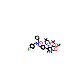 CCOC(=O)[C@@H](OC(C)(C)C)c1c(C)nc(C)c(-c2ccc(CN(Cc3ccc(F)cc3)C(=O)C3CCCC3)cc2)c1N1CCC(C)(C)CC1